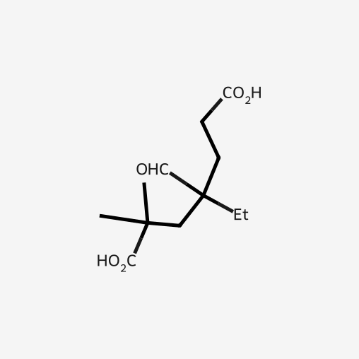 CCC(C=O)(CCC(=O)O)CC(C)(C)C(=O)O